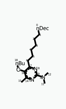 CCCCCCCCCCCCCCCCc1nc(N(C)C)nc(C)c1OCCCC